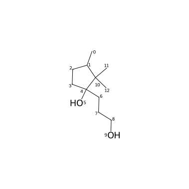 CC1CCC(O)(CCCO)C1(C)C